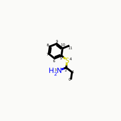 CCC(N)Sc1ccccc1C